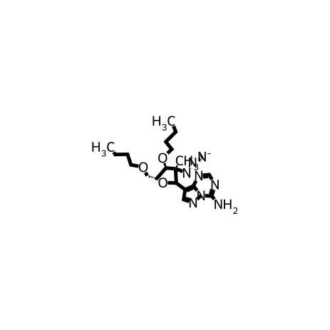 CCCCOC[C@H]1OC(c2cnn3c(N)ncnc23)[C@](C)(N=[N+]=[N-])[C@@H]1OCCCC